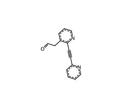 O=CCc1cccnc1C#Cc1ccccn1